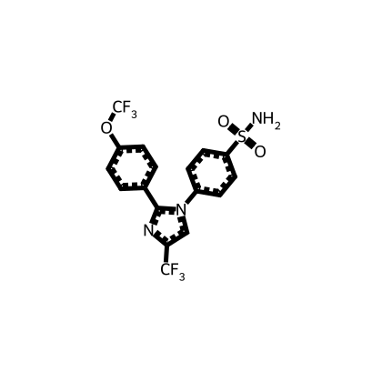 NS(=O)(=O)c1ccc(-n2cc(C(F)(F)F)nc2-c2ccc(OC(F)(F)F)cc2)cc1